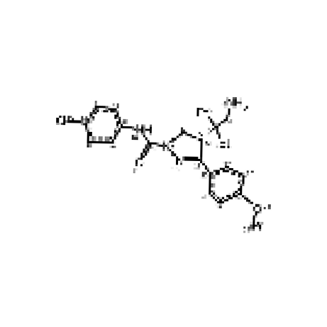 CCC(CC)(CN)[C@H]1CN(C(=O)Nc2ccc(Cl)cc2)N=C1c1ccc(OC(C)C)cc1